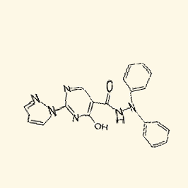 O=C(NN(c1ccccc1)c1ccccc1)c1cnc(-n2cccn2)nc1O